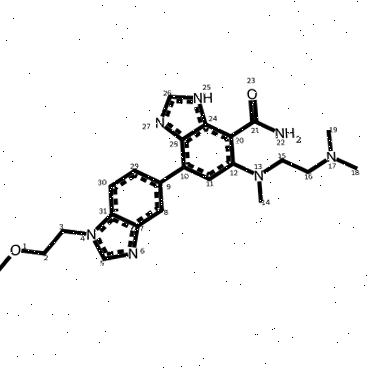 COCCn1cnc2cc(-c3cc(N(C)CCN(C)C)c(C(N)=O)c4[nH]cnc34)ccc21